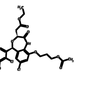 CCOC(=O)C[C@H]1O[C@H](c2cccc(OC)c2Cl)c2cc(Cl)cc(OCCCOC(C)=O)c2NC1=O